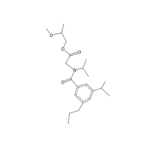 CCCc1cc(C(=O)N(CC(=O)OCC(C)OC)C(C)C)cc(C(C)C)c1